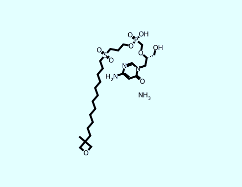 CC1(CCCCCCCCCCCCS(=O)(=O)CCCOP(=O)(O)CO[C@H](CO)Cn2cnc(N)cc2=O)COC1.N